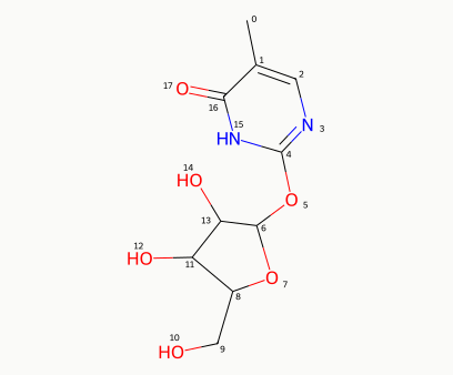 Cc1cnc(OC2OC(CO)C(O)C2O)[nH]c1=O